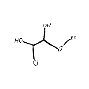 CCOC(O)C(O)Cl